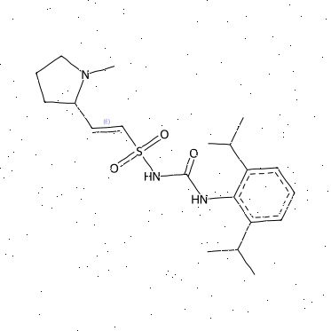 CC(C)c1cccc(C(C)C)c1NC(=O)NS(=O)(=O)/C=C/C1CCCN1C